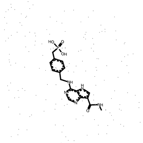 CNC(=O)c1c[nH]c2c(NCc3ccc(CP(=O)(O)O)cc3)ncnc12